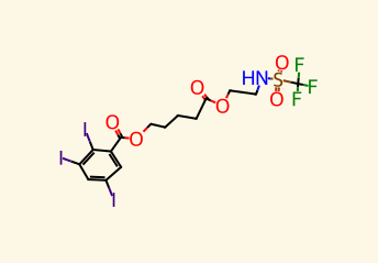 O=C(CCCCOC(=O)c1cc(I)cc(I)c1I)OCCNS(=O)(=O)C(F)(F)F